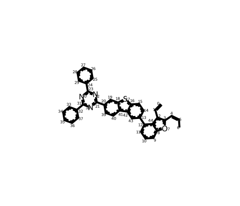 C=Cc1c(/C=C\C)oc2cccc(-c3ccc4sc5cc(-c6nc(-c7ccccc7)nc(-c7ccccc7)n6)ccc5c4c3)c12